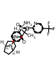 CC(C)(Oc1ccc(C(F)(F)F)cn1)C(=O)N[C@H]1C[C@H]2CC[C@@H](C1)N2c1ccc(S(N)(=O)=O)cc1